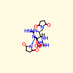 N=C1N[C@H]2[C@H](CN3C(=O)CCC3=O)NC(=N)N3C[C@H](N4C(=O)CCC4=O)C(O)(O)C23N1